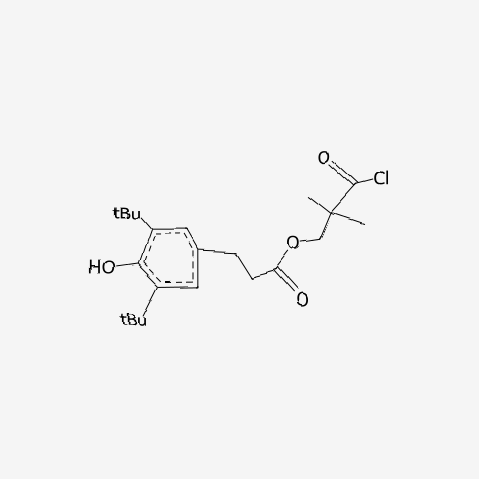 CC(C)(COC(=O)CCc1cc(C(C)(C)C)c(O)c(C(C)(C)C)c1)C(=O)Cl